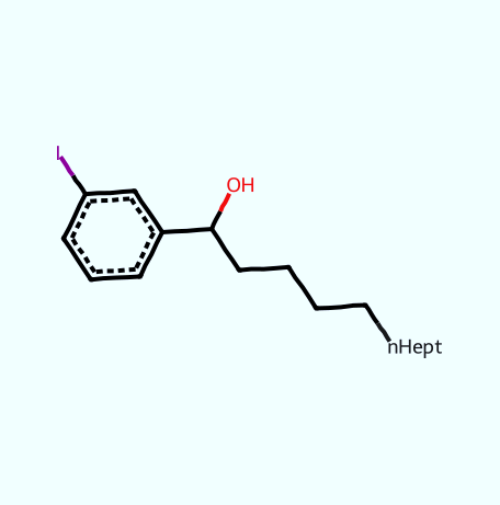 CCCCCCCCCCCC(O)c1cccc(I)c1